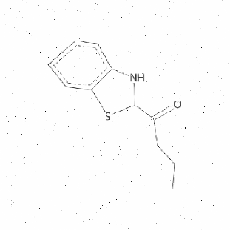 CCCC(=O)C1Nc2ccccc2S1